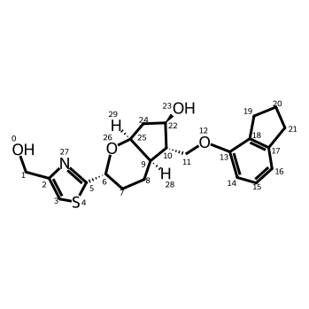 OCc1csc([C@H]2CC[C@@H]3[C@@H](COc4cccc5c4CCC5)[C@H](O)C[C@@H]3O2)n1